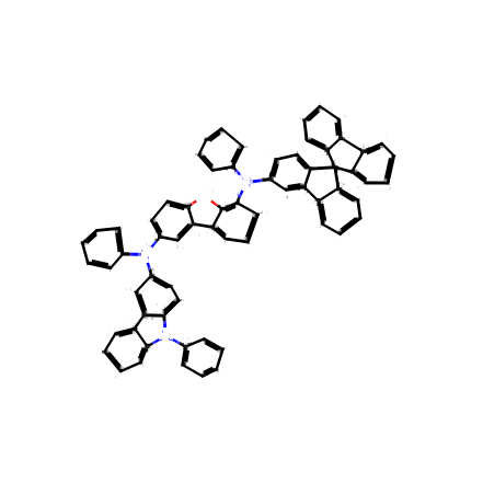 c1ccc(N(c2ccc3oc4c(N(c5ccccc5)c5ccc6c(c5)-c5ccccc5C65c6ccccc6-c6ccccc65)cccc4c3c2)c2ccc3c(c2)c2ccccc2n3-c2ccccc2)cc1